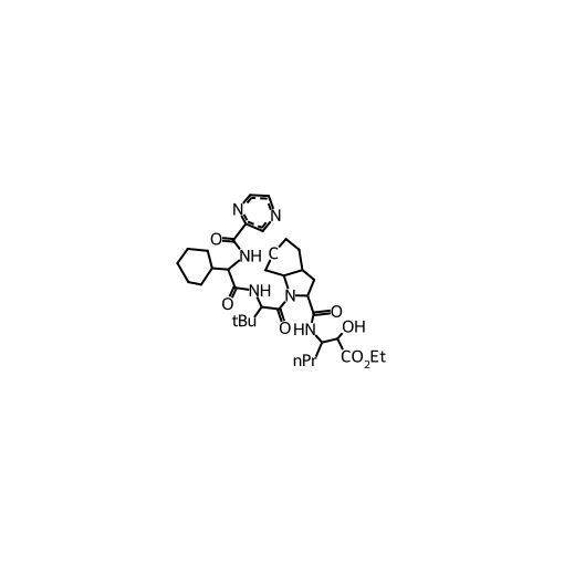 CCCC(NC(=O)C1CC2CCCCC2N1C(=O)C(NC(=O)C(NC(=O)c1cnccn1)C1CCCCC1)C(C)(C)C)C(O)C(=O)OCC